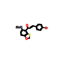 COc1ccc2c(c1C(=O)C=Cc1ccc(Br)cc1)SCO2